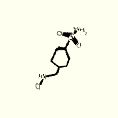 NS(=O)(=O)C1CCC(CNCl)CC1